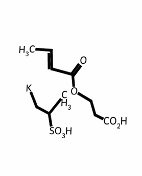 CC([CH2][K])S(=O)(=O)O.CC=CC(=O)OCCC(=O)O